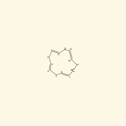 [C]1=C/C/C=C/C/C=C/CC/C=C/C/1